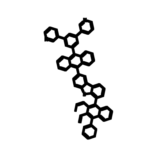 C=Cc1c(/C=C\C)c(-c2cccc3c2sc2ccc(-c4c5ccccc5c(-c5cc(-c6cccnc6)cc(-c6cccnc6)c5)c5ccccc45)cc23)c2ccccc2c1C1=CC=CCC1